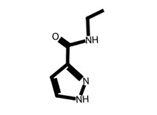 CCNC(=O)c1cc[nH]n1